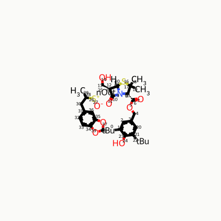 CC(C)(C)c1cc(COC(=O)[C@@H]2N3C(=O)[C@@H](CO)[C@H]3SC2(C)C)cc(C(C)(C)C)c1O.CCCCCCCC[S+]([O-])C(C)Cc1ccc2c(c1)OCO2